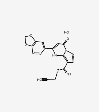 C#CCOC(=N)c1cnn2c(=O)cc(-c3ccc4c(c3)OCO4)[nH]c12.Cl